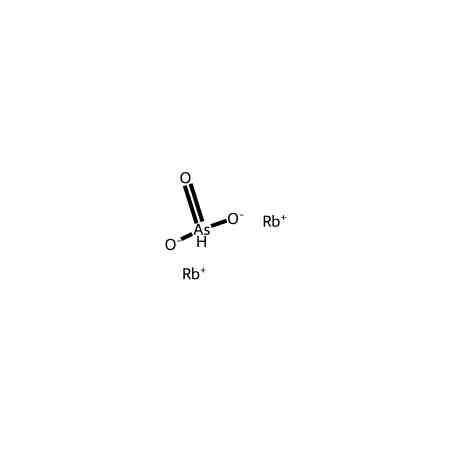 O=[AsH]([O-])[O-].[Rb+].[Rb+]